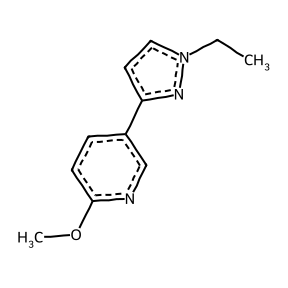 CCn1ccc(-c2ccc(OC)nc2)n1